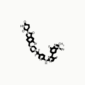 Cc1nc2c(F)cc(-c3nc(Nc4ccc(C(F)(F)N5CCN(Cc6cc7c(cc6Br)C(=O)N(C6CCC(=O)NC6=O)C7)CC5)cn4)ncc3F)cc2n1C(C)C